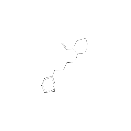 O=CN1CCOCC1OCCCc1ccccc1